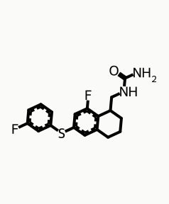 NC(=O)NCC1CCCc2cc(Sc3cccc(F)c3)cc(F)c21